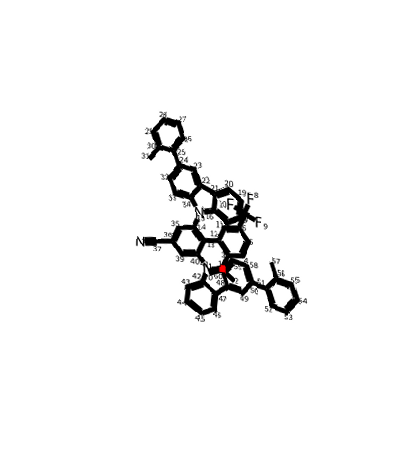 C=C(C)c1ccc(C(F)(F)F)cc1-c1c(-n2c3ccccc3c3cc(-c4ccccc4C)ccc32)cc(C#N)cc1-n1c2ccccc2c2cc(-c3ccccc3C)ccc21